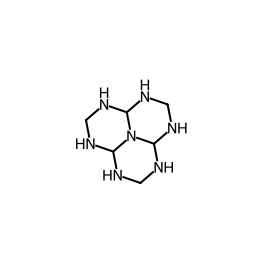 C1NC2NCNC3NCNC(N1)N23